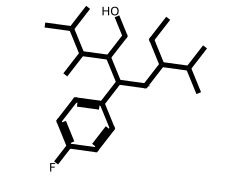 CCC([CH]C(c1ccc(F)cc1)C(CO)C(C)C(C)C)C(C)C